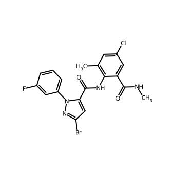 CNC(=O)c1cc(Cl)cc(C)c1NC(=O)c1cc(Br)nn1-c1cccc(F)c1